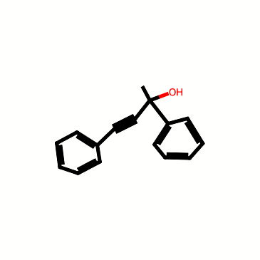 CC(O)(C#Cc1ccccc1)c1ccccc1